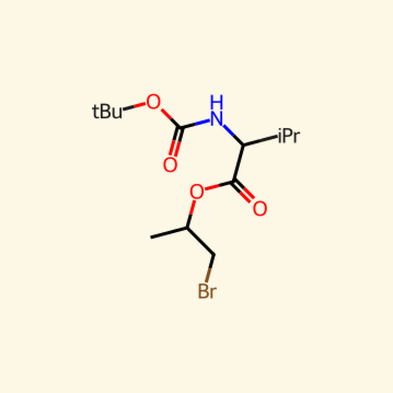 CC(CBr)OC(=O)C(NC(=O)OC(C)(C)C)C(C)C